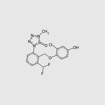 Cn1nnn(-c2cccc(C(F)F)c2COc2ccc(O)cc2Cl)c1=O